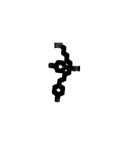 O=C1CCN(CCCCC(O)(CCCCCO)N2CCC(=O)CC2)CC1